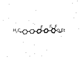 C=CC1CCC(C2CC=C(c3ccc(-c4ccc(-c5ccc(O/C=C\CC)c(F)c5F)cc4)c(F)c3)CC2)CC1